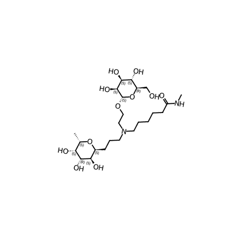 CNC(=O)CCCCCN(CCC[C@@H]1O[C@@H](C)[C@@H](O)[C@@H](O)[C@@H]1O)CCO[C@H]1O[C@H](CO)[C@@H](O)[C@H](O)[C@@H]1O